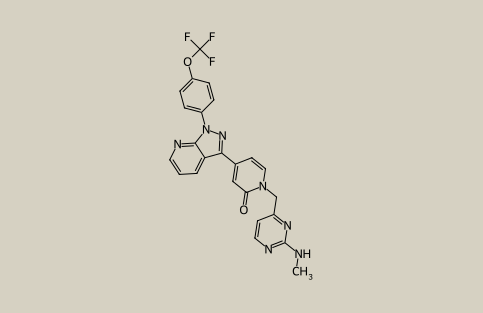 CNc1nccc(Cn2ccc(-c3nn(-c4ccc(OC(F)(F)F)cc4)c4ncccc34)cc2=O)n1